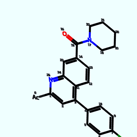 CC(=O)c1cc(-c2ccc(F)cc2)c2ccc(C(=O)N3CCCCC3)cc2n1